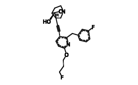 O[C@]1(C#Cc2ccc(OCCCF)nc2Cc2cccc(F)c2)CN2CCC1CC2